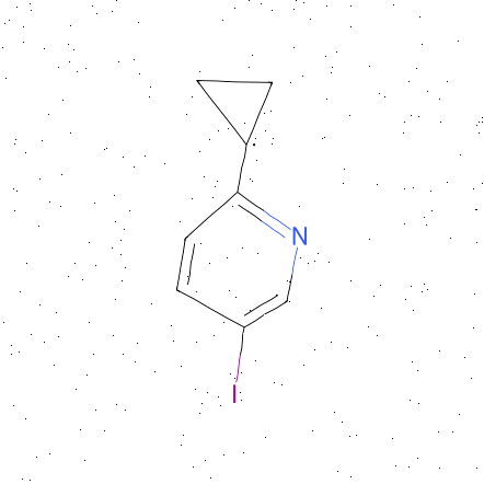 Ic1ccc([C]2CC2)nc1